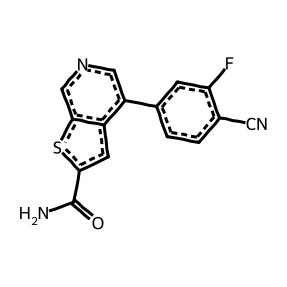 N#Cc1ccc(-c2cncc3sc(C(N)=O)cc23)cc1F